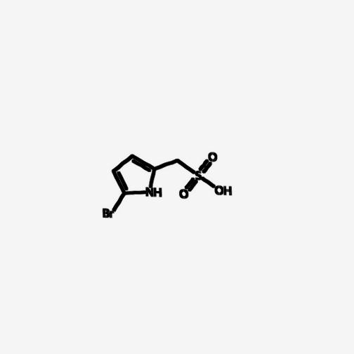 O=S(=O)(O)Cc1ccc(Br)[nH]1